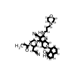 C=CC(=O)N1CCN(c2c(C#N)c(NCCCN3CCOCC3)nc3c2CCN(c2cccc4cccc(C)c24)C3)CC1CC#N